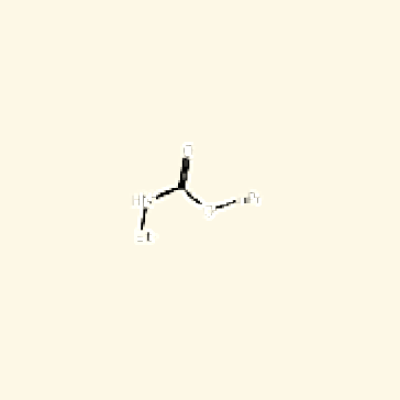 C[CH]NC(=O)OCCC